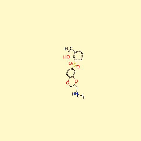 CNCC1COc2ccc(S(=O)(=O)c3cccc(C)c3O)cc2O1